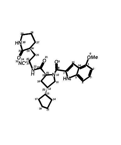 COc1cccc2[nH]c(C(=O)N3C[C@H](C4CCCC4)C[C@H]3C(=O)N[C@H](C#N)C[C@@H]3CCCNC3=O)cc12